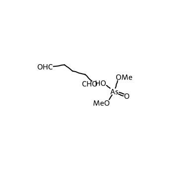 CO[As](=O)(O)OC.O=CCCCC=O